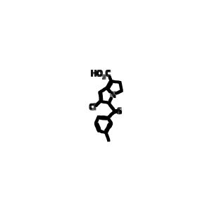 Cc1cccc(C(=S)C2C(Cl)=CC3=C(C(=O)O)CCN32)c1